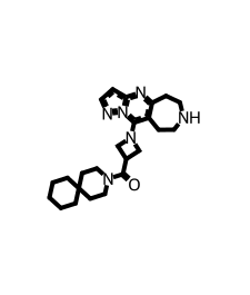 O=C(C1CN(c2c3c(nc4ccnn24)CCNCC3)C1)N1CCC2(CCCCC2)CC1